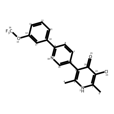 Cc1[nH]c(C)c(-c2ccc(-c3cccc(OC(F)(F)F)c3)nc2)c(=O)c1Cl